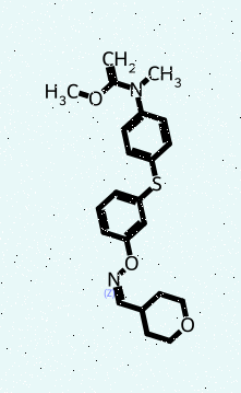 C=C(OC)N(C)c1ccc(Sc2cccc(O/N=C\C3CCOCC3)c2)cc1